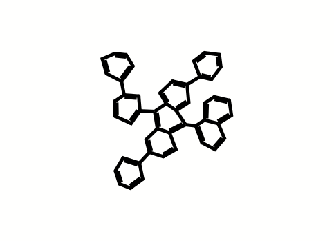 c1ccc(-c2cccc(-c3c4cc(-c5ccccc5)ccc4c(-c4cccc5ccccc45)c4cc(-c5ccccc5)ccc34)c2)cc1